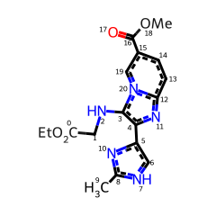 CCOC(=O)CNc1c(-c2c[nH]c(C)n2)nc2ccc(C(=O)OC)cn12